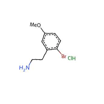 COc1ccc(Br)c(CCN)c1.Cl